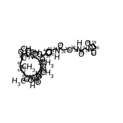 COc1cc2cc(c1Cl)N(C)C(=O)C[C@H](OC(=O)c1ccc(CNC(=O)CCOCCNC(=O)CCN3C(=O)C=CC3=O)cc1)[C@@]1(C)O[C@H]1[C@H](C)[C@@H]1C[C@@](O)(NC(=O)O1)C(OC)/C=C/C=C(\C)C2